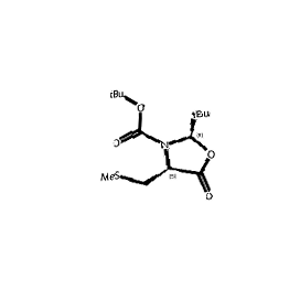 CSC[C@@H]1C(=O)O[C@H](C(C)(C)C)N1C(=O)OC(C)(C)C